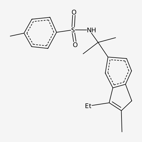 CCC1=C(C)Cc2ccc(C(C)(C)NS(=O)(=O)c3ccc(C)cc3)cc21